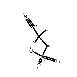 CC(C)(C#N)CS(=O)(=O)Cl